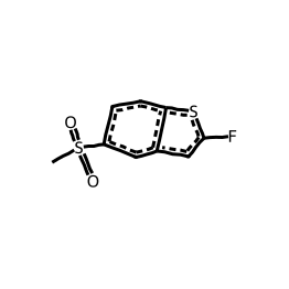 CS(=O)(=O)c1ccc2sc(F)cc2c1